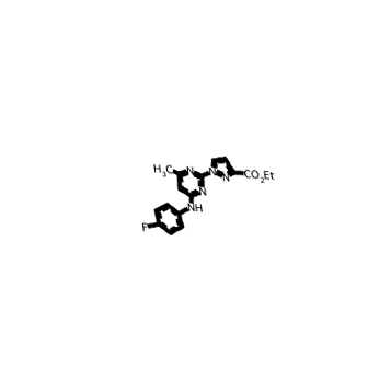 CCOC(=O)c1ccn(-c2nc(C)cc(Nc3ccc(F)cc3)n2)n1